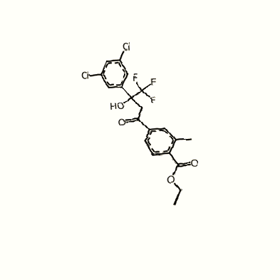 CCOC(=O)c1ccc(C(=O)CC(O)(c2cc(Cl)cc(Cl)c2)C(F)(F)F)cc1C